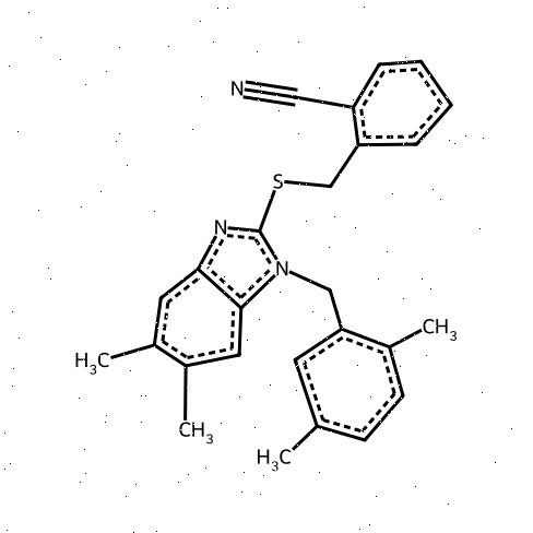 Cc1ccc(C)c(Cn2c(SCc3ccccc3C#N)nc3cc(C)c(C)cc32)c1